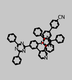 N#Cc1ccc(-c2ccc3c(c2)c2ccccc2n3-c2ccc(-c3nc(-c4ccccc4)nc(-c4ccccc4)n3)cc2-c2ccncc2-c2nc(-c3ccccc3)nc(-c3ccccc3)n2)cc1